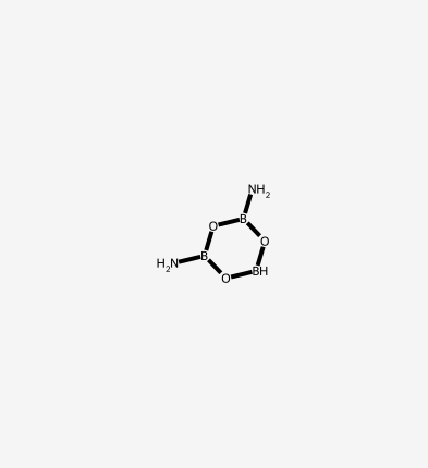 NB1OBOB(N)O1